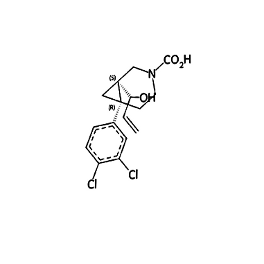 C=CC(O)[C@]12CN(C(=O)O)CC[C@@]1(c1ccc(Cl)c(Cl)c1)C2